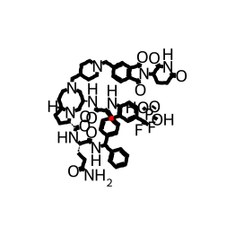 NC(=O)CC[C@H](NC(=O)[C@@H]1CC[C@@H]2CCN(CC3CCN(Cc4ccc5c(c4)C(=O)N(C4CCC(=O)NC4=O)C5=O)CC3)C[C@H](NC(=O)c3cc4cc(C(F)(F)P(=O)(O)O)ccc4[nH]3)C(=O)N21)C(=O)NC(c1ccccc1)c1ccccc1